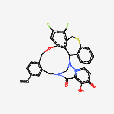 COc1ccc2c(c1)CN1CN(C3c4ccccc4SCc4c(F)c(F)cc(c43)OC2)n2ccc(=O)c(O)c2C1=O